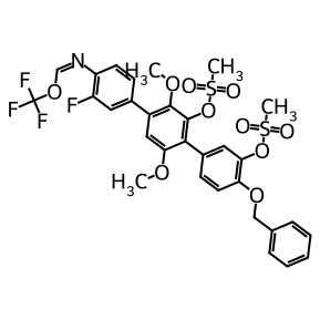 COc1cc(-c2ccc(/N=C\OC(F)(F)F)c(F)c2)c(OC)c(OS(C)(=O)=O)c1-c1ccc(OCc2ccccc2)c(OS(C)(=O)=O)c1